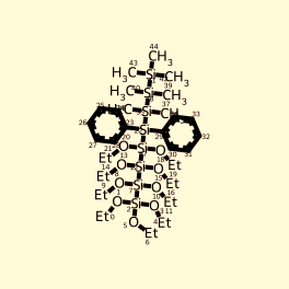 CCO[Si](OCC)(OCC)[Si](OCC)(OCC)[Si](OCC)(OCC)[Si](OCC)(OCC)[Si](c1ccccc1)(c1ccccc1)[Si](C)(C)[Si](C)(C)[Si](C)(C)C